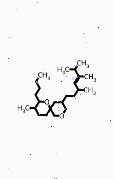 CCCCC1OC2(CCC1C)COCC(CCC(C)/C=C(\C)C(C)C)C2